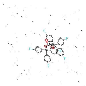 O=C([O][BiH]([c]1ccc(F)cc1)([c]1ccc(F)cc1)[c]1ccc(F)cc1)[O][BiH]([c]1ccc(F)cc1)([c]1ccc(F)cc1)[c]1ccc(F)cc1